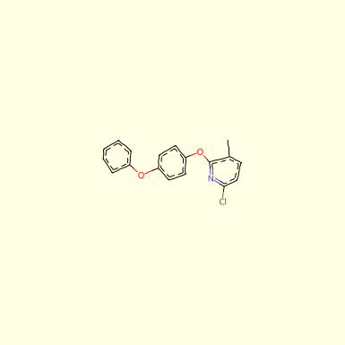 Cc1ccc(Cl)nc1Oc1ccc(Oc2ccccc2)cc1